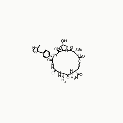 Cc1ncsc1-c1ccc([C@H]2NC(=O)[C@@H]3C[C@@H](O)CN3C(=O)[C@H](C(C)(C)C)NC(=O)CSC[C@H](C(N)=O)NC(=O)[C@@H](N)NC(=O)CNC2=O)cc1